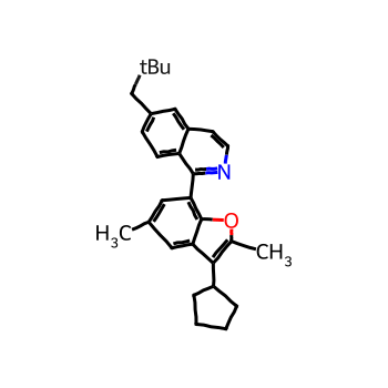 Cc1cc(-c2nccc3cc(CC(C)(C)C)ccc23)c2oc(C)c(C3CCCC3)c2c1